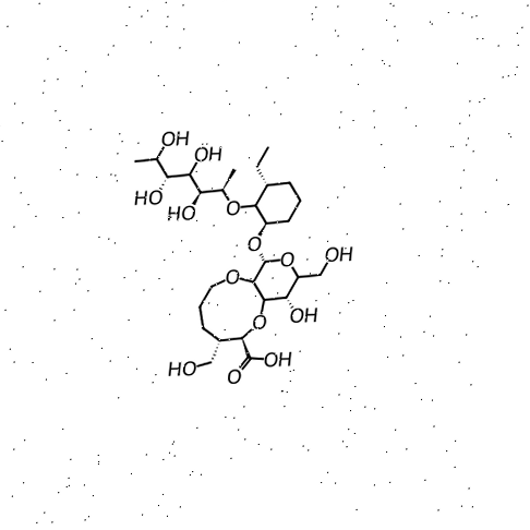 CC[C@@H]1CCC[C@@H](O[C@@H]2OC(CO)[C@H](O)C3O[C@@H](C(=O)O)[C@H](CO)CCCOC32)C1O[C@H](C)[C@@H](O)C(O)[C@H](O)C(C)O